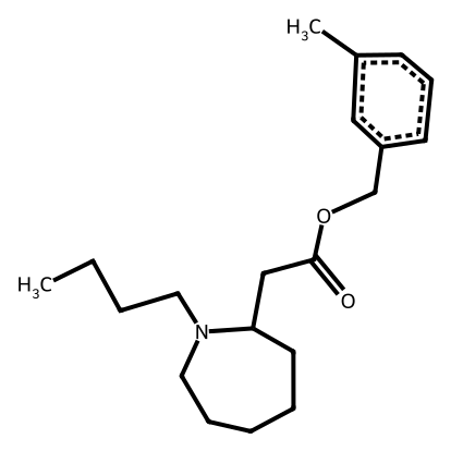 CCCCN1CCCCCC1CC(=O)OCc1cccc(C)c1